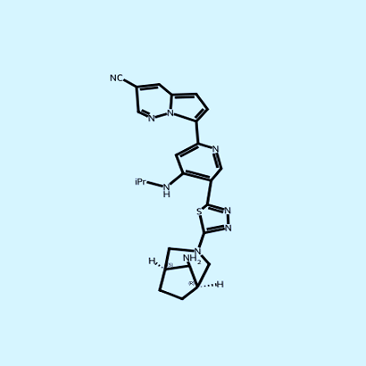 CC(C)Nc1cc(-c2ccc3cc(C#N)cnn23)ncc1-c1nnc(N2C[C@H]3CC[C@@H](C2)C3N)s1